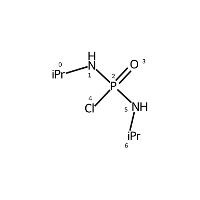 CC(C)NP(=O)(Cl)NC(C)C